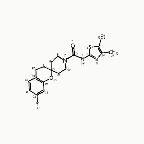 CCc1sc(NC(=O)N2CCC3(CCc4ccc(F)cc4O3)CC2)nc1C